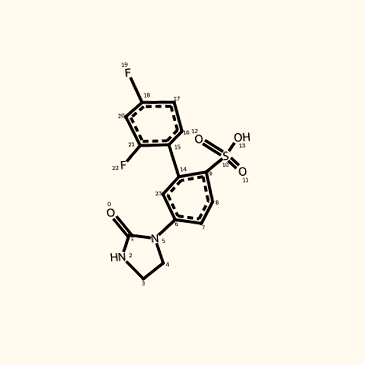 O=C1NCCN1c1ccc(S(=O)(=O)O)c(-c2ccc(F)cc2F)c1